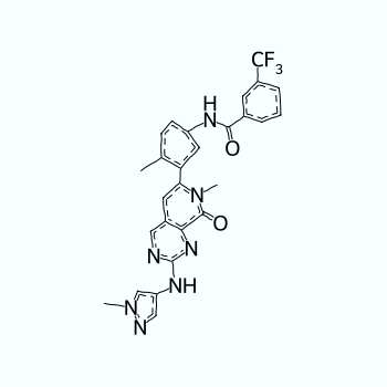 Cc1ccc(NC(=O)c2cccc(C(F)(F)F)c2)cc1-c1cc2cnc(Nc3cnn(C)c3)nc2c(=O)n1C